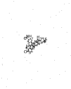 NC(=O)[C@H]1CC[C@@H](n2c(Nc3c(F)ccc(Cl)c3F)nc3cnc(NC4CCC(F)(F)CC4)nc32)CC1